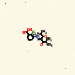 CC(C)C(=O)C(=CNc1cccc(C(=O)O)c1Cl)C(=O)C(C)C